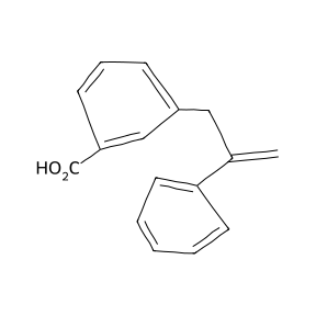 C=C(Cc1cccc(C(=O)O)c1)c1ccccc1